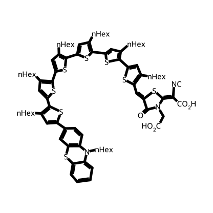 [C-]#[N+]/C(C(=O)O)=c1\s/c(=C\c2sc(-c3sc(-c4sc(-c5sc(-c6sc(-c7sc(-c8ccc9c(c8)Sc8ccccc8N9CCCCCC)cc7CCCCCC)cc6CCCCCC)cc5CCCCCC)cc4CCCCCC)cc3CCCCCC)cc2CCCCCC)c(=O)n1CC(=O)O